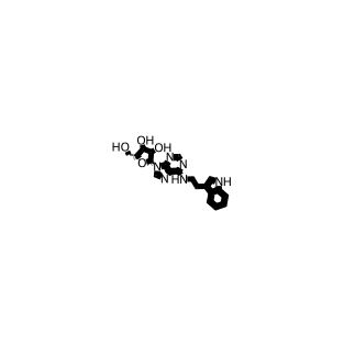 OC[C@H]1O[C@@H](n2cnc3c(NCCc4c[nH]c5ccccc45)ncnc32)C(O)C1O